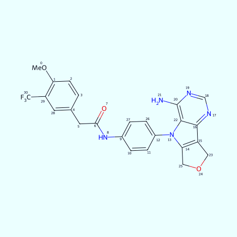 COc1ccc(CC(=O)Nc2ccc(-n3c4c(c5ncnc(N)c53)COC4)cc2)cc1C(F)(F)F